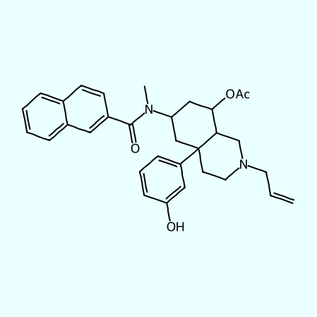 C=CCN1CCC2(c3cccc(O)c3)CC(N(C)C(=O)c3ccc4ccccc4c3)CC(OC(C)=O)C2C1